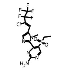 CCS(=O)(=O)c1cnc(N)nc1-c1ncc(/C=C(\Cl)C(F)(F)C(F)(F)F)n1C